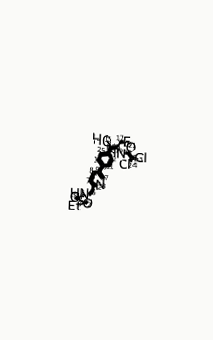 CCS(=O)(=O)NCc1ccc(-c2ccc([C@@H](O)[C@@H](CF)NC(=O)C(Cl)Cl)cc2)cn1